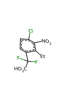 CCc1c(C(F)(F)C(=O)O)ccc(Cl)c1[N+](=O)[O-]